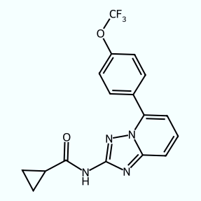 O=C(Nc1nc2cccc(-c3ccc(OC(F)(F)F)cc3)n2n1)C1CC1